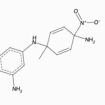 CC1(Nc2cccc(N)c2)C=CC(N)([N+](=O)[O-])C=C1